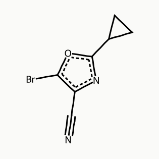 N#Cc1nc(C2CC2)oc1Br